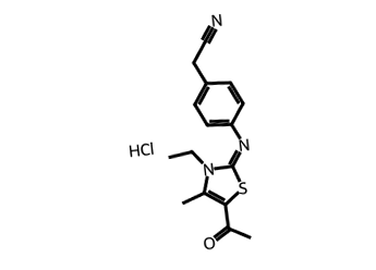 CCn1c(C)c(C(C)=O)sc1=Nc1ccc(CC#N)cc1.Cl